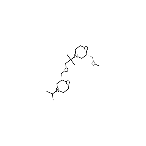 COC[C@@H]1CN(C(C)(C)COC[C@H]2CN(C(C)C)CCO2)CCO1